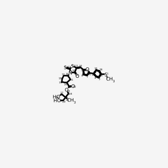 CSc1ccc(-c2ccc(/C=C3/SC(=S)N(C4CCCC(C(=O)OCC(C)(CO)CO)C4)C3=O)o2)cc1